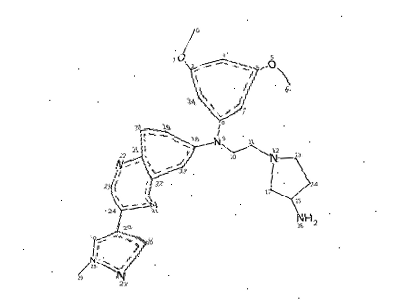 COc1cc(OC)cc(N(CCN2CCC(N)C2)c2ccc3ncc(-c4cnn(C)c4)nc3c2)c1